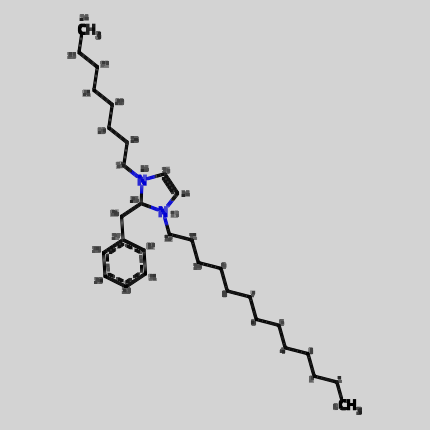 CCCCCCCCCCCCCN1C=CN(CCCCCCCC)C1Cc1ccccc1